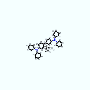 C[Si]1(C)c2cc(N(c3ccccc3)c3ccccc3)ccc2-c2ccc(N(c3ccccc3)c3ccccc3)cc21